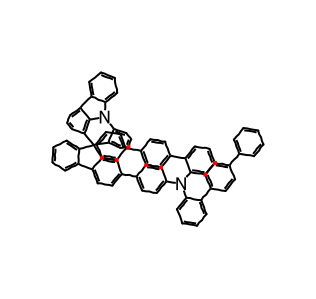 c1ccc(-c2ccc(-c3ccccc3N(c3ccc(-c4ccc5c(c4)C4(c6ccccc6-5)c5ccccc5-n5c6ccccc6c6cccc4c65)cc3)c3ccccc3-c3ccc(-c4ccccc4)cc3)cc2)cc1